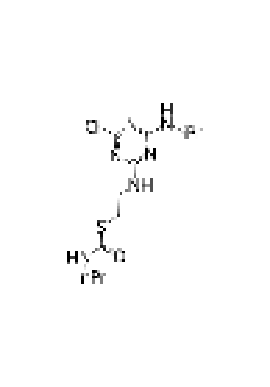 CCCNC(=O)SCCNc1nc(Cl)nc(NC(C)C)n1